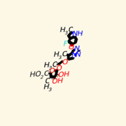 Cc1cc2c(F)c(Oc3ncnn4cc(OC[C@@H](C)O[C@@H]5O[C@H](C(=O)O)[C@@H](C)[C@H](O)[C@H]5O)c(C)c34)ccc2[nH]1